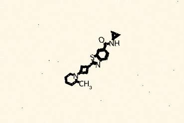 CC1CCCCN1C1CC(c2nc3ccc(C(=O)NC4CC4)cc3s2)C1